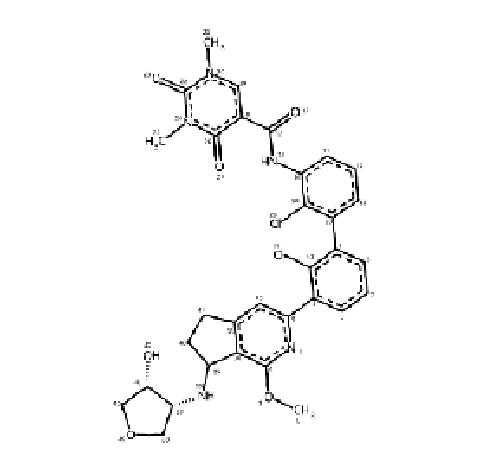 COc1nc(-c2cccc(-c3cccc(NC(=O)c4cn(C)c(=O)n(C)c4=O)c3Cl)c2Cl)cc2c1C(N[C@@H]1COC[C@@H]1O)CC2